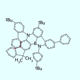 CC(C)(C)c1ccc(N2B3c4cc5c(cc4N(c4ccc(C(C)(C)C)cc4-c4ccccc4)c4cc(C(C)(C)C)cc(c43)-c3cc(-c4ccccc4)ccc32)-c2ccccc2C5(C)C)cc1